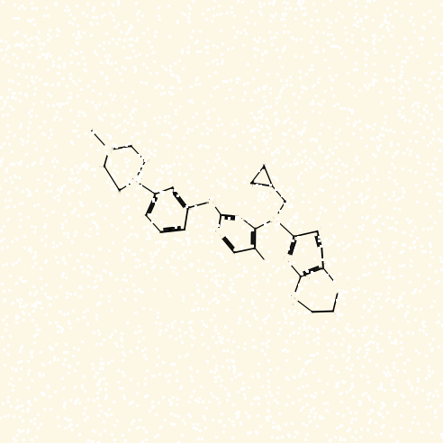 CN1CCN(c2cccc(Nc3ncc(F)c(N(CC4CC4)c4ccc5c(n4)NCCO5)n3)c2)CC1